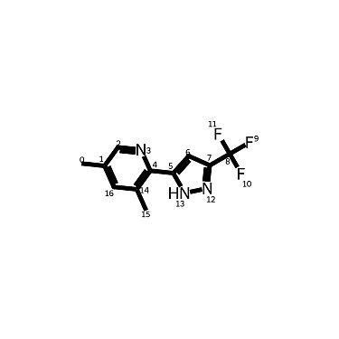 Cc1cnc(-c2cc(C(F)(F)F)n[nH]2)c(C)c1